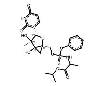 CC(C)OC(=O)C(C)NP(=S)(OC[C@]12C[C@]1(O)[C@@](C)(O)[C@H](n1ccc(=O)[nH]c1=O)O2)Oc1ccccc1